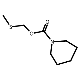 CSCOC(=O)N1CCCCC1